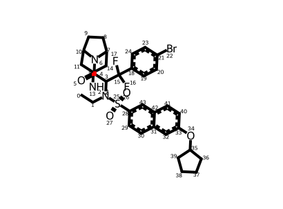 CCN(C(C(=O)N1C2CCC1CC(N)C2)C(F)(F)c1ccc(Br)cc1)S(=O)(=O)c1ccc2cc(OC3CCCC3)ccc2c1